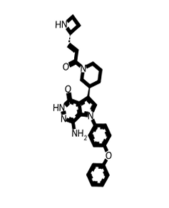 Nc1n[nH]c(=O)c2c([C@@H]3CCCN(C(=O)/C=C/[C@H]4CCN4)C3)cn(-c3ccc(Oc4ccccc4)cc3)c12